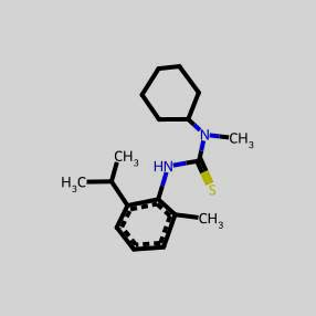 Cc1cccc(C(C)C)c1NC(=S)N(C)C1CCCCC1